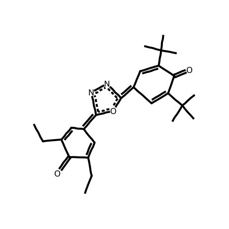 CCC1=CC(=c2nnc(=C3C=C(C(C)(C)C)C(=O)C(C(C)(C)C)=C3)o2)C=C(CC)C1=O